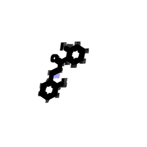 O=C(/C=C/c1ccccc1F)c1ccccc1F